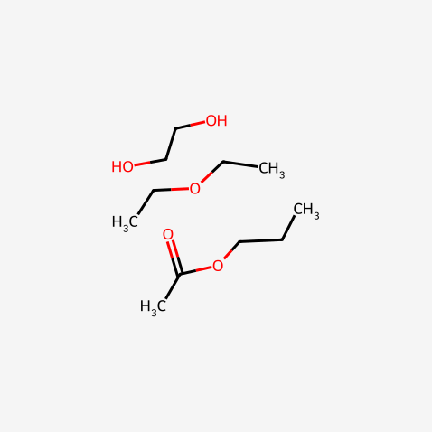 CCCOC(C)=O.CCOCC.OCCO